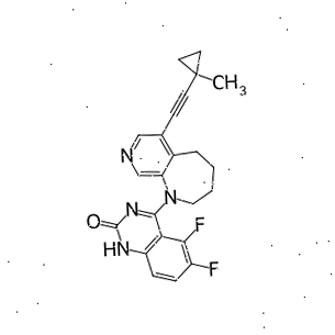 CC1(C#Cc2cncc3c2CCCCN3c2nc(=O)[nH]c3ccc(F)c(F)c23)CC1